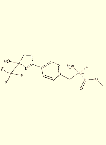 COC(=O)[C@](C)(N)Cc1ccc(C2=NC(O)(C(F)(F)F)CS2)cc1